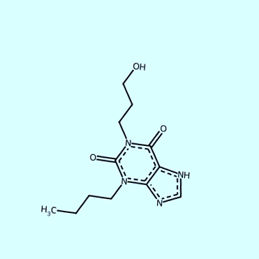 CCCCn1c(=O)n(CCCO)c(=O)c2[nH]cnc21